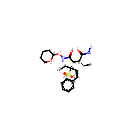 CC(C)C[C@@H](C(=O)NN)[C@@H](C(=O)NOC1CCCCO1)C(/C=C\c1ccccc1)(CC(C)C)S(C)(=O)=O